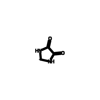 O=C1N[CH]NC1=O